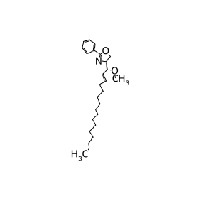 CCCCCCCCCCCCC/C=C/C(OC)[C@@H]1COC(c2ccccc2)=N1